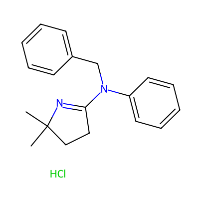 CC1(C)CCC(N(Cc2ccccc2)c2ccccc2)=N1.Cl